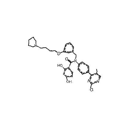 Cc1cnc(Cl)nc1-c1ccc(N(Cc2cccc(OCCCCN3CCCCC3)c2)C(=O)c2ccc(O)cc2O)cc1